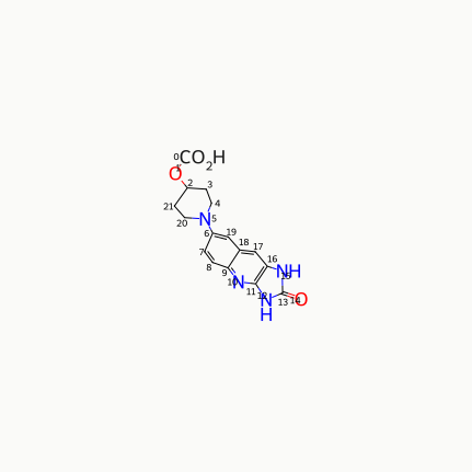 O=C(O)OC1CCN(c2ccc3nc4[nH]c(=O)[nH]c4cc3c2)CC1